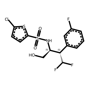 O=S(=O)(N[C@H](CO)[C@H](c1cccc(F)c1)C(F)F)c1ccc(Cl)s1